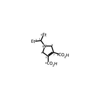 CCC(CC)N1CC(C(=O)O)=C(C(=O)O)C1